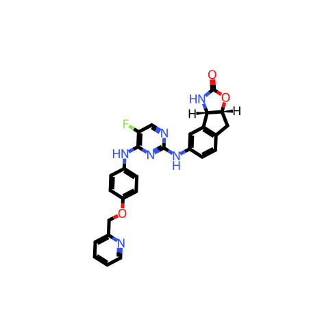 O=C1N[C@H]2c3cc(Nc4ncc(F)c(Nc5ccc(OCc6ccccn6)cc5)n4)ccc3C[C@H]2O1